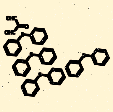 O=CC(=O)C=O.c1ccc(Sc2ccccc2)cc1.c1ccc(Sc2ccccc2)cc1.c1ccc(Sc2ccccc2)cc1.c1ccc(Sc2ccccc2)cc1